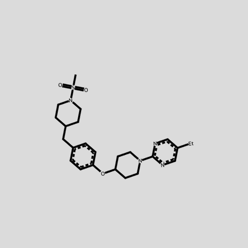 CCc1cnc(N2CCC(Oc3ccc(CC4CCN(S(C)(=O)=O)CC4)cc3)CC2)nc1